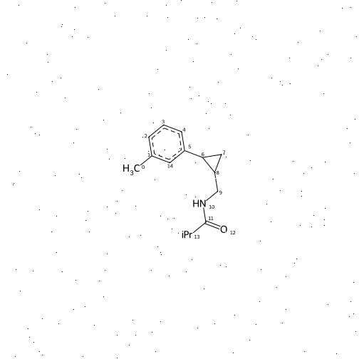 Cc1cccc(C2CC2CNC(=O)C(C)C)c1